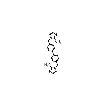 Cc1nccn1Cc1ccc(-c2ccc(Cn3ccnc3C)cc2)cc1